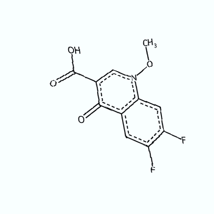 COn1cc(C(=O)O)c(=O)c2cc(F)c(F)cc21